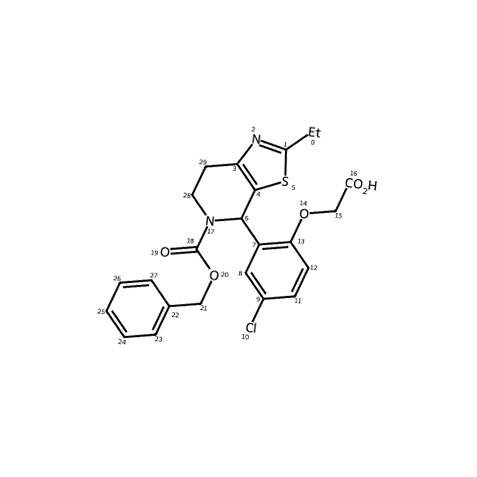 CCc1nc2c(s1)C(c1cc(Cl)ccc1OCC(=O)O)N(C(=O)OCc1ccccc1)CC2